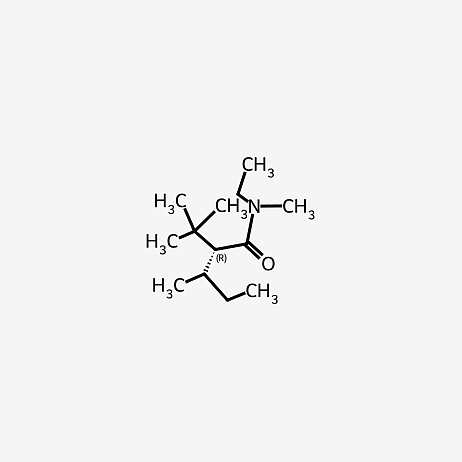 CCC(C)[C@@H](C(=O)N(C)CC)C(C)(C)C